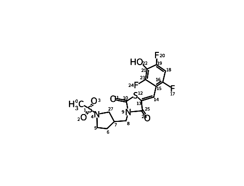 CS(=O)(=O)N1CCC(CN2C(=O)SC(=Cc3c(F)cc(F)c(O)c3F)C2=O)C1